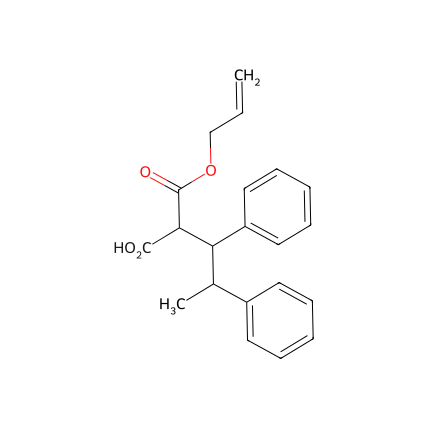 C=CCOC(=O)C(C(=O)O)C(c1ccccc1)C(C)c1ccccc1